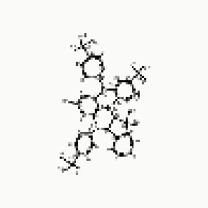 Cc1cc2c3c(c1)N(c1ccc(C(C)(C)C)cc1)C1c4ccccc4C(C)(C)C1B3c1cnc(C(C)(C)C)cc1N2c1ccc(C(C)(C)C)cc1